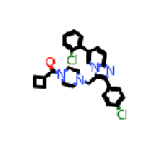 O=C(C1CCC1)N1CCN(Cc2c(-c3ccc(Cl)cc3)nc3ccc(-c4ccccc4Cl)cn23)CC1